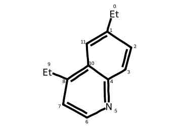 CCc1ccc2nccc(CC)c2c1